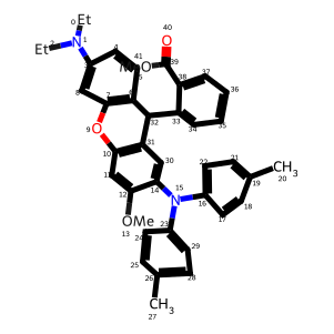 CCN(CC)c1ccc2c(c1)Oc1cc(OC)c(N(c3ccc(C)cc3)c3ccc(C)cc3)cc1C2c1ccccc1C(=O)OC